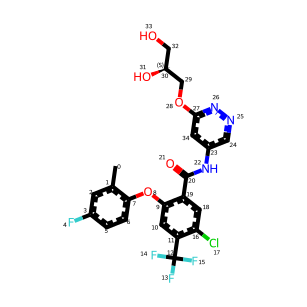 Cc1cc(F)ccc1Oc1cc(C(F)(F)F)c(Cl)cc1C(=O)Nc1cnnc(OC[C@@H](O)CO)c1